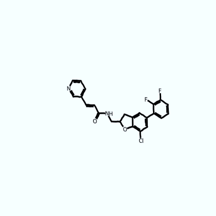 O=C(C=Cc1cccnc1)NCC1Cc2cc(-c3cccc(F)c3F)cc(Cl)c2O1